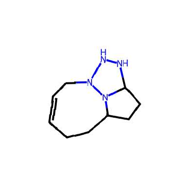 C1=C\CN2NNC3CCC(CC/1)N32